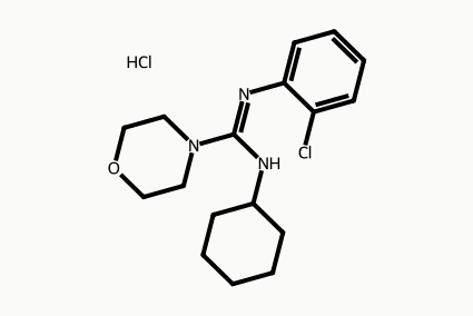 Cl.Clc1ccccc1N=C(NC1CCCCC1)N1CCOCC1